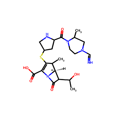 CC(O)C1C(=O)N2C(C(=O)O)=C(SC3CNC(C(=O)N4CCN(C=N)CC4C)C3)C(C)[C@@H]12